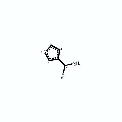 CCC(N)c1ccsc1